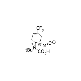 CC(C)(C)N(C(=O)O)[C@H]1CC=C(C(F)(F)F)C[C@@H]1N=C=O